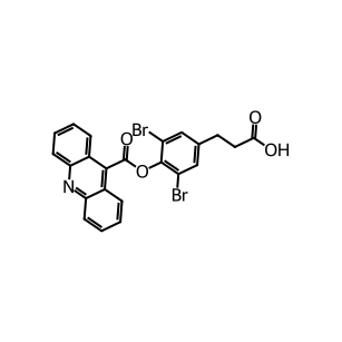 O=C(O)CCc1cc(Br)c(OC(=O)c2c3ccccc3nc3ccccc23)c(Br)c1